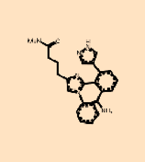 CNC(=O)CCCc1cn(-c2ccccc2)c(-c2c(C(N)=O)cccc2-c2cn[nH]c2)n1